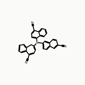 N#CC1=CC=C(N(c2ccc3cc(C#N)ccc3c2)c2ccc(C#N)c3ccccc23)Cc2ccccc21